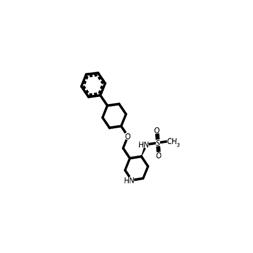 CS(=O)(=O)N[C@H]1CCNCC1COC1CCC(c2ccccc2)CC1